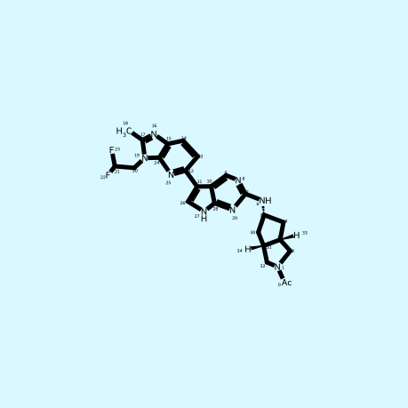 CC(=O)N1C[C@H]2C[C@@H](Nc3ncc4c(-c5ccc6nc(C)n(CC(F)F)c6n5)c[nH]c4n3)C[C@H]2C1